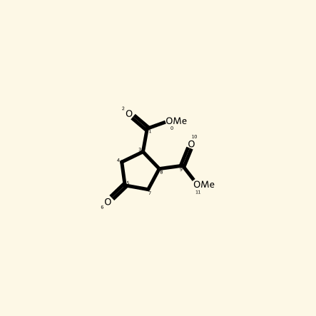 COC(=O)C1CC(=O)CC1C(=O)OC